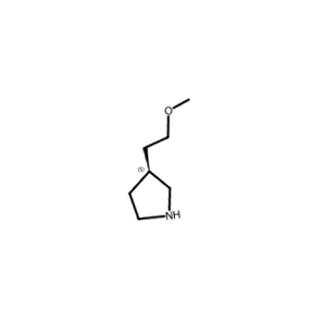 COCC[C@@H]1CCNC1